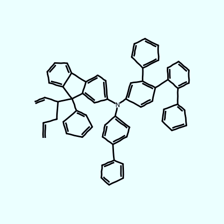 C=CCC(C=C)C1(c2ccccc2)c2ccccc2-c2ccc(N(c3ccc(-c4ccccc4)cc3)c3ccc(-c4ccccc4-c4ccccc4)c(-c4ccccc4)c3)cc21